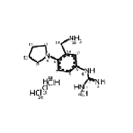 CCNC(=N)Nc1ccc(N2CCCC2)c(CN)c1.Cl.Cl.Cl